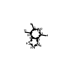 Cc1nc(C)c2nnsc2c1C